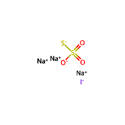 O=S(=O)([O-])[S-].[I-].[Na+].[Na+].[Na+]